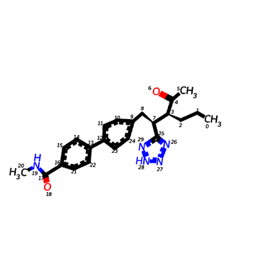 CCC[C@H](C(C)=O)[C@H](Cc1ccc(-c2ccc(C(=O)NC)cc2)cc1)c1nn[nH]n1